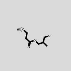 CC(C[O])COC(=O)CCC(=O)O